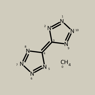 C.N1=NC(=C2N=NN=N2)N=N1